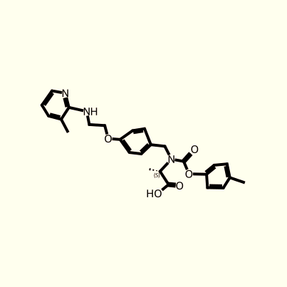 Cc1ccc(OC(=O)N(Cc2ccc(OCCNc3ncccc3C)cc2)[C@@H](C)C(=O)O)cc1